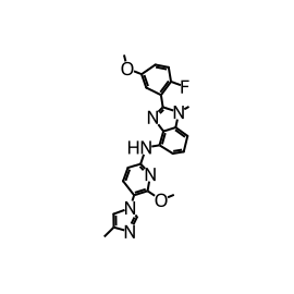 COc1ccc(F)c(-c2nc3c(Nc4ccc(-n5cnc(C)c5)c(OC)n4)cccc3n2C)c1